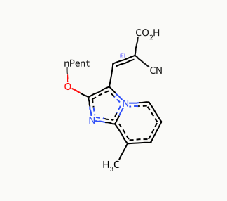 CCCCCOc1nc2c(C)cccn2c1/C=C(\C#N)C(=O)O